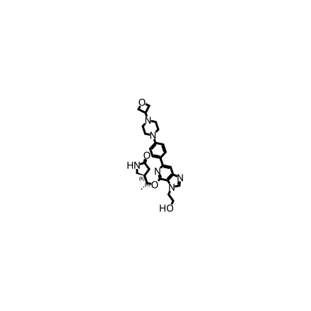 C[C@@H](Oc1nc(-c2ccc(N3CCN(C4COC4)CC3)cc2)cc2ncn(CCO)c12)[C@H]1CNC(=O)C1